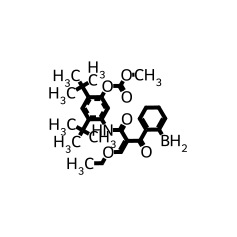 BC1=CCCC=C1C(=O)/C(=C/OCC)C(=O)Nc1cc(OC(=O)OC)c(C(C)(C)C)cc1C(C)(C)C